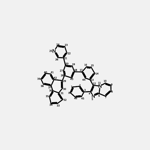 c1ccc(-c2nc3ccccn3c2-c2cccc(-c3cc(-c4cccnc4)cc(-c4cc5ccccc5c5ccccc45)c3)c2)cc1